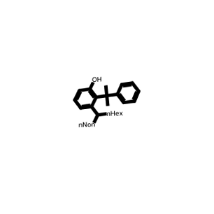 CCCCCCCCCC(CCCCCC)c1cccc(O)c1C(C)(C)c1ccccc1